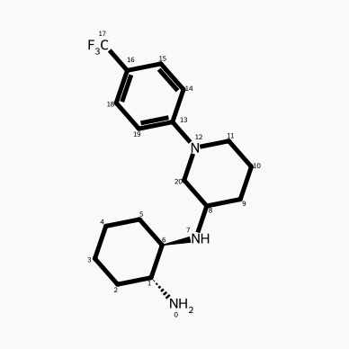 N[C@@H]1CCCC[C@H]1NC1CCCN(c2ccc(C(F)(F)F)cc2)C1